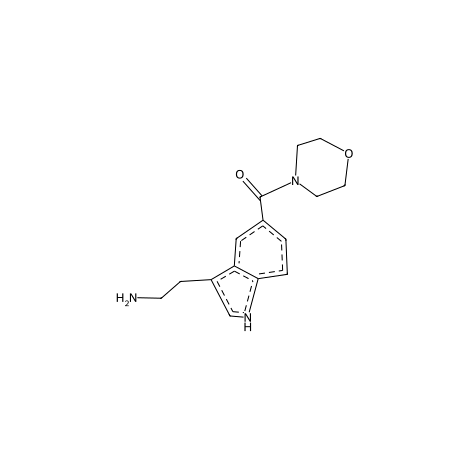 NCCc1c[nH]c2ccc(C(=O)N3CCOCC3)cc12